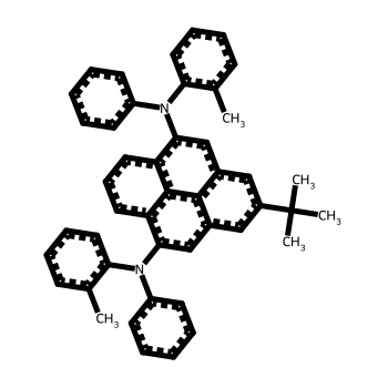 Cc1ccccc1N(c1ccccc1)c1cc2cc(C(C)(C)C)cc3cc(N(c4ccccc4)c4ccccc4C)c4cccc1c4c23